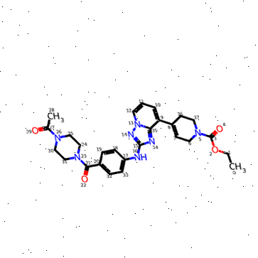 CCOC(=O)N1CC=C(c2cccn3nc(Nc4ccc(C(=O)N5CCN(C(C)=O)CC5)cc4)nc23)CC1